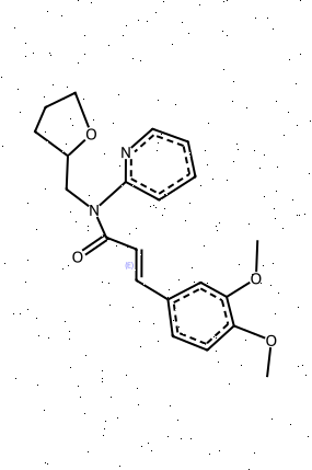 COc1ccc(/C=C/C(=O)N(CC2CCCO2)c2ccccn2)cc1OC